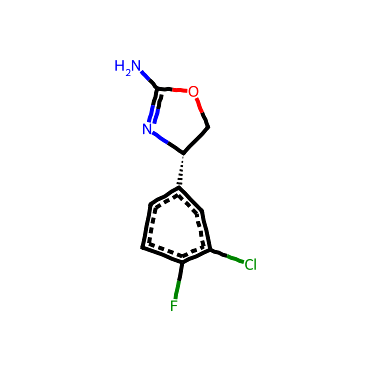 NC1=N[C@@H](c2ccc(F)c(Cl)c2)CO1